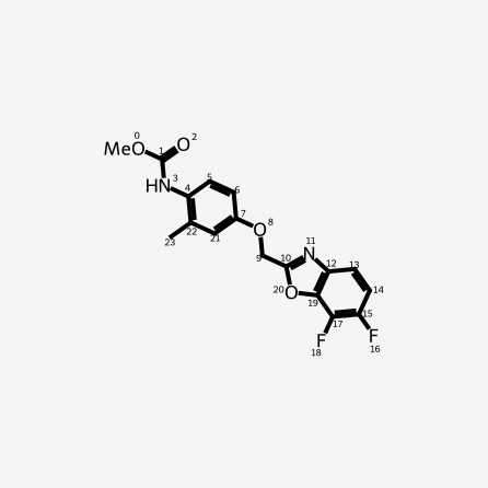 COC(=O)Nc1ccc(OCc2nc3ccc(F)c(F)c3o2)cc1C